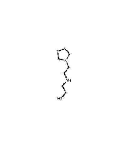 SCCNCCN1CCCC1